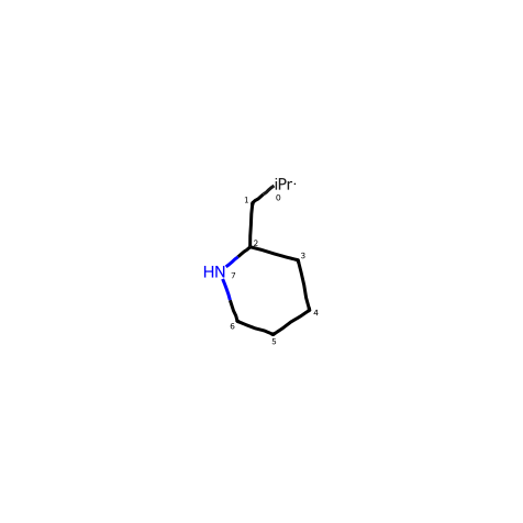 C[C](C)CC1CCCCN1